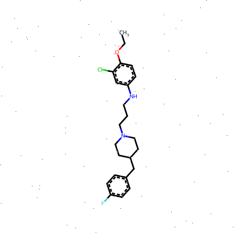 CCOc1ccc(NCCCN2CCC(Cc3ccc(F)cc3)CC2)cc1Cl